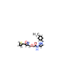 Cc1ccc(Cn2ccc(NC(=O)COCc3cc(-c4cccs4)on3)n2)cc1